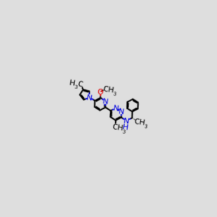 COc1nc(-c2cc(C)c(N[C@@H](C)c3ccccc3)nn2)ccc1-n1ccc(C)c1